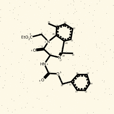 CCOC(=O)CN1C(=O)C(NC(=O)OCc2ccccc2)N=C(C)c2cccc(C)c21